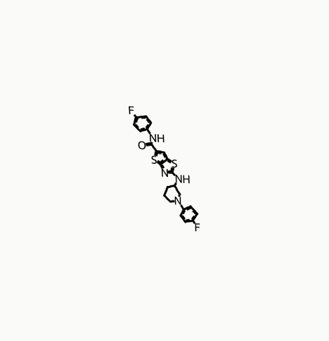 O=C(Nc1ccc(F)cc1)c1cc2sc(NC3CCCN(c4ccc(F)cc4)C3)nc2s1